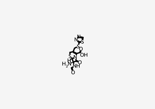 N[C@]1(NC=O)C(=O)N2C(C(=O)O)=C(CSc3nncs3)CS[C@H]21